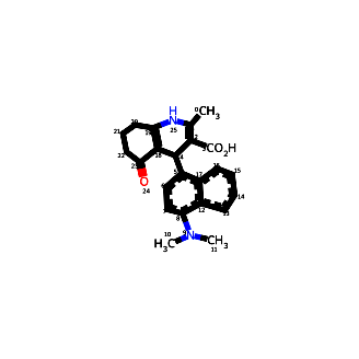 CC1=C(C(=O)O)C(c2ccc(N(C)C)c3ccccc23)C2=C(CCCC2=O)N1